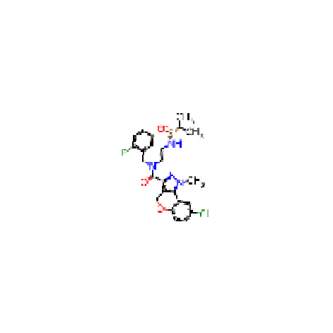 CC(C)[S+]([O-])NCCN(Cc1ccccc1F)C(=O)c1nn(C)c2c1COc1ccc(Cl)cc1-2